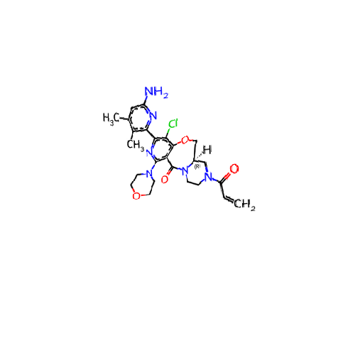 C=CC(=O)N1CCN2C(=O)c3c(N4CCOCC4)nc(-c4nc(N)cc(C)c4C)c(Cl)c3OC[C@H]2C1